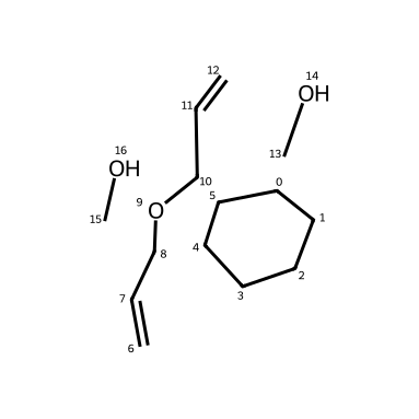 C1CCCCC1.C=CCOCC=C.CO.CO